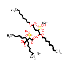 CCCCCCC(CCCCCC)(C(=O)[O-])C(C(=O)[O-])S(=O)(=O)O.CCCCCCCCOC(=O)CC(C(=O)OCCCCCCCC)S(=O)(=O)O.[Na+].[Na+]